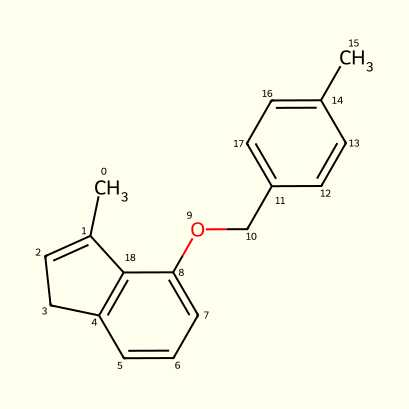 CC1=CCc2cccc(OCc3ccc(C)cc3)c21